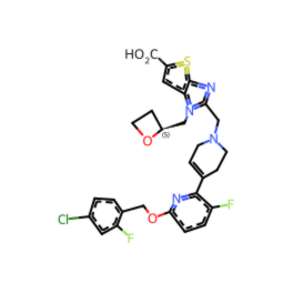 O=C(O)c1cc2c(nc(CN3CC=C(c4nc(OCc5ccc(Cl)cc5F)ccc4F)CC3)n2C[C@@H]2CCO2)s1